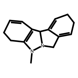 CN1C2=C(C=CCC2)C2C3=CCCC=C3CN21